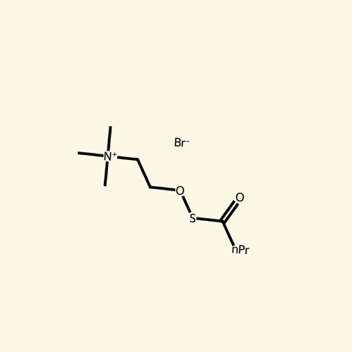 CCCC(=O)SOCC[N+](C)(C)C.[Br-]